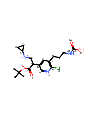 CC(C)(C)OC(=O)C(CNC1CC1)c1cnc(Cl)c(CCCNC(=O)O)c1